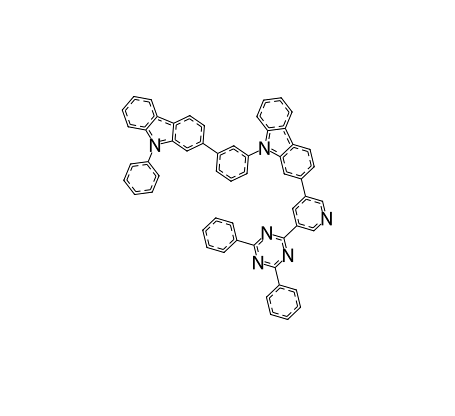 c1ccc(-c2nc(-c3ccccc3)nc(-c3cncc(-c4ccc5c6ccccc6n(-c6cccc(-c7ccc8c9ccccc9n(-c9ccccc9)c8c7)c6)c5c4)c3)n2)cc1